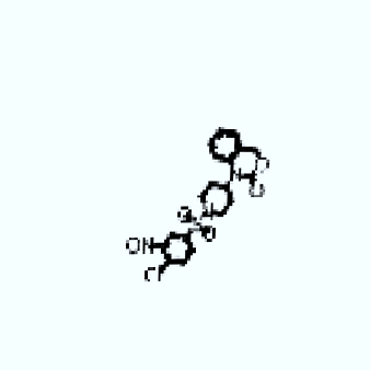 O=Nc1cc(S(=O)(=O)N2CCC(N3C(=O)OCc4ccccc43)CC2)ccc1Cl